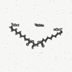 CCCCCCCC/C=C\CCCCCCCC(=O)OCC(C)OC(=O)CCCCCCC/C=C\CCCCCCCC.CNC